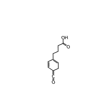 O=C=C1C=CC(CCCC(=O)O)=CC1